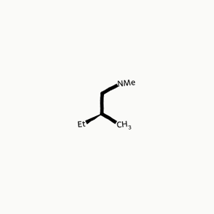 CC[C@H](C)CNC